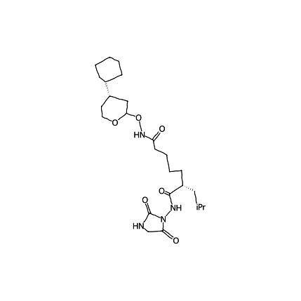 CC(C)C[C@@H](CCCCC(=O)NOC1C[C@@H](C2CCCCC2)CCO1)C(=O)NN1C(=O)CNC1=O